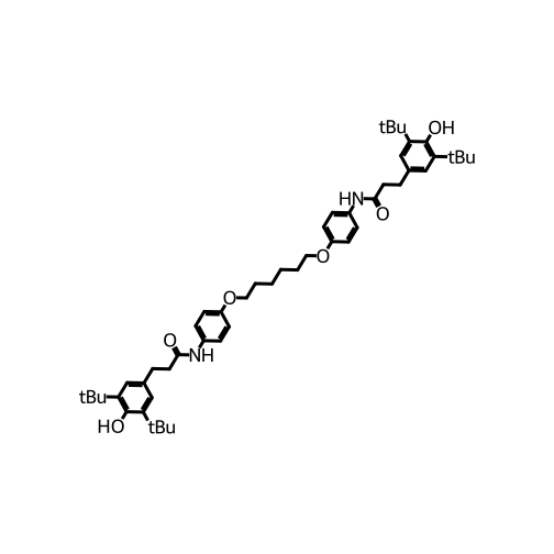 CC(C)(C)c1cc(CCC(=O)Nc2ccc(OCCCCCCOc3ccc(NC(=O)CCc4cc(C(C)(C)C)c(O)c(C(C)(C)C)c4)cc3)cc2)cc(C(C)(C)C)c1O